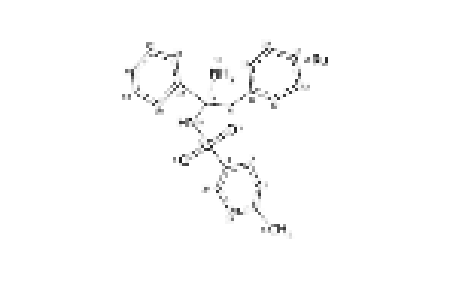 Cc1ccc(S(=O)(=O)N[C@](N)(Cc2ccccc2)c2ccccc2)cc1.[Ru]